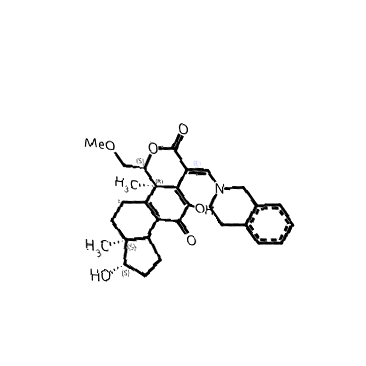 COC[C@H]1OC(=O)/C(=C/N2CCc3ccccc3C2)C2=C(O)C(=O)C3=C([C]C[C@@]4(C)C3CC[C@@H]4O)[C@]21C